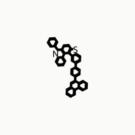 c1ccc(-c2nc3ccccc3c3c2ccc2sc4ccc(-c5ccc(-c6cc7ccccc7c7ccccc67)cc5)cc4c23)cc1